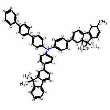 CC1C=CC2=C(C1)C1=CC=C(c3ccc(N(c4ccc(-c5ccc(-c6ccccc6)cc5)cc4)c4ccc(-c5ccc6c(c5)C(C)(C)c5ccccc5-6)cc4)cc3)CC1(C)C2(C)C